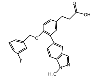 Cn1ncc2cc(-c3cc(CCC(=O)O)ccc3OCc3cccc(F)c3)ccc21